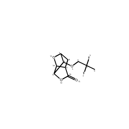 CC(F)(F)COC1C2CC3C(=O)OC1C3O2